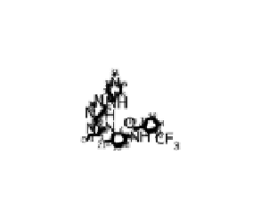 Cc1cc(Nc2cc(NC(=O)c3cccc(C(F)(F)F)c3)ccc2C)n(-c2cc(NN3CCN(C)CC3)ncn2)n1